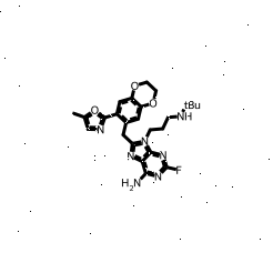 Cc1cnc(-c2cc3c(cc2Cc2nc4c(N)nc(F)nc4n2CCCNC(C)(C)C)OCCO3)o1